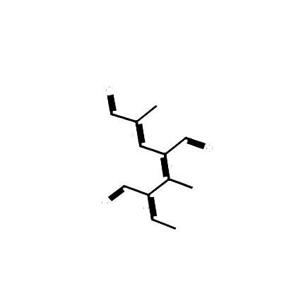 C\C=C(C=O)/C(C)=C(C=O)\C=C(/C)C=O